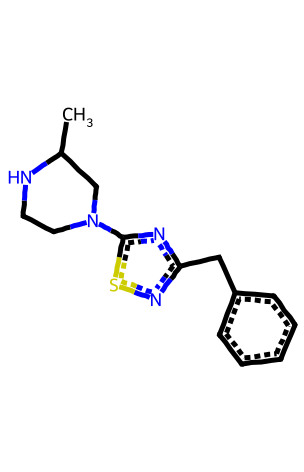 CC1CN(c2nc(Cc3ccccc3)ns2)CCN1